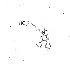 CC1CCc2nc(-c3ccccc3)c(-c3ccccc3)nc2N1CCCCCCC(=O)O